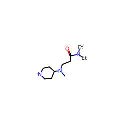 CCN(CC)C(=O)CCN(C)C1CC[N]CC1